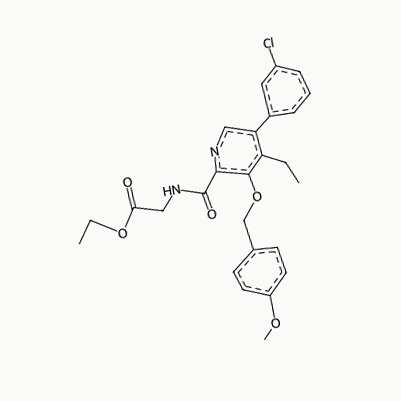 CCOC(=O)CNC(=O)c1ncc(-c2cccc(Cl)c2)c(CC)c1OCc1ccc(OC)cc1